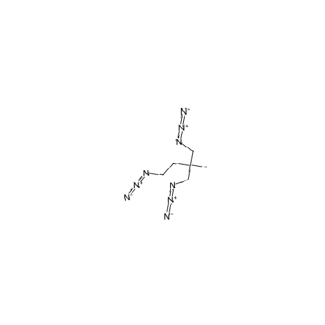 CC(CCN=[N+]=[N-])(CN=[N+]=[N-])CN=[N+]=[N-]